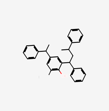 CC(CC(c1ccccc1)c1cc(C(C)c2ccccc2)cc(S(=O)(=O)O)c1O)c1ccccc1